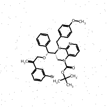 C=C(CO[C@H](c1ccccc1)[C@H]1CN(C(=O)OC(C)(C)C)c2cccnc2N1Cc1ccc(OC)cc1)c1cccc(Br)c1